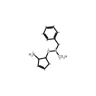 NC1C=CCC1ON(Cc1ccccc1)C(=O)O